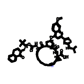 COc1ccc2c(O[C@@H]3C[C@H]4C(=O)N[C@]5(C(=O)O)CC5/C=C\CCCCC[C@H](NC(=O)O[C@H](CN5CCc6ccccc6C5=O)C(C)(C)C)C(=O)N4C3)cc(-c3csc(NC(C)C)n3)nc2c1